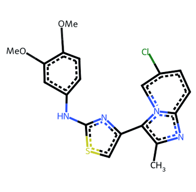 COc1ccc(Nc2nc(-c3c(C)nc4ccc(Cl)cn34)cs2)cc1OC